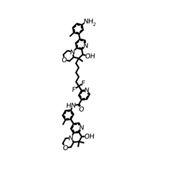 Cc1ccc(N)cc1-c1cnc2c(c1)N1CCOCC1C(C)(CCCCCC(F)(F)c1cc(C(=O)Nc3ccc(C)c(-c4cnc5c(c4)N4CCOCC4C(C)(C)C5O)c3)ccn1)C2O